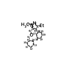 CCC1=NN(C)S(COCc2ccccc2)=C1c1ccccc1